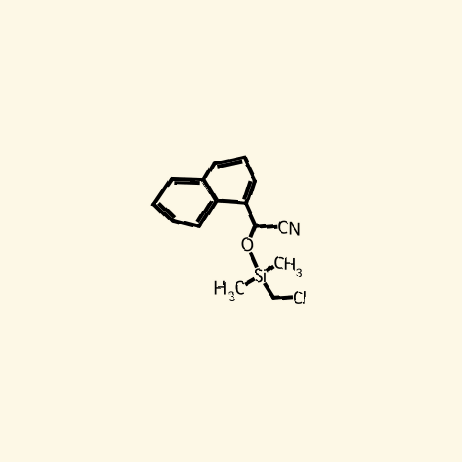 C[Si](C)(CCl)OC(C#N)c1cccc2ccccc12